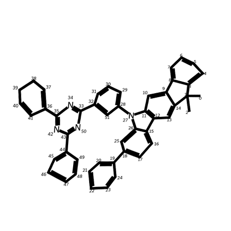 CC1(C)c2ccccc2-c2cc3c(cc21)c1ccc(-c2ccccc2)cc1n3-c1cccc(-c2nc(C3=CCCC=C3)nc(-c3ccccc3)n2)c1